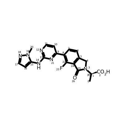 C[C@H](C(=O)O)N1Cc2ccc(-c3ccnc(Nc4ccnn4C)n3)c(F)c2C1=O